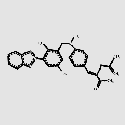 C=C(C)C/C(=C\c1ccc(N(C)Cc2cc(C)cc(-n3nc4ccccc4n3)c2C)cc1)C(=C)C